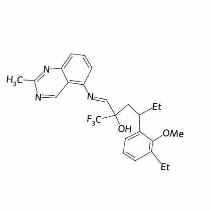 CCc1cccc(C(CC)CC(O)(C=Nc2cccc3nc(C)ncc23)C(F)(F)F)c1OC